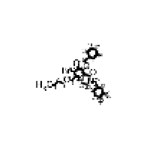 CC=CCOCc1c(Br)c(=O)c(OCc2ccccc2)c2n1CCN(Cc1ccc(F)c(Cl)c1)C2=O